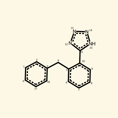 c1ccc(Cc2ccccc2-c2nnn[nH]2)cc1